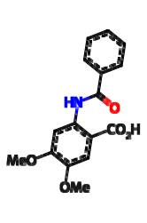 COc1cc(NC(=O)c2ccccc2)c(C(=O)O)cc1OC